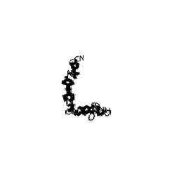 Cc1c(-c2ccc(C#N)c(Cl)c2)nn(Cc2ccc(C#CC3CCN(CCC(=O)N4CCc5cc6c(cc5C4)C(=O)N(C4CCC(=O)NC4=O)C6=O)CC3)cc2)c1C